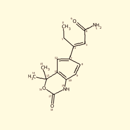 CC/C(=C\C(N)=O)c1ccc2c(c1)C(C)(C)OC(=O)N2